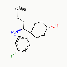 COCC[C@H](N)[C@]1(c2ccc(F)cc2)CC[C@@H](O)CC1